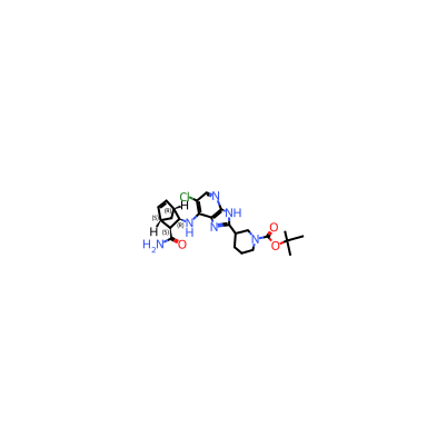 CC(C)(C)OC(=O)N1CCCC(c2nc3c(N[C@H]4[C@@H](C(N)=O)[C@@H]5C=C[C@H]4C5)c(Cl)cnc3[nH]2)C1